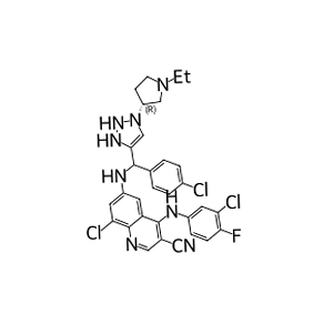 CCN1CC[C@@H](N2C=C(C(Nc3cc(Cl)c4ncc(C#N)c(Nc5ccc(F)c(Cl)c5)c4c3)c3ccc(Cl)cc3)NN2)C1